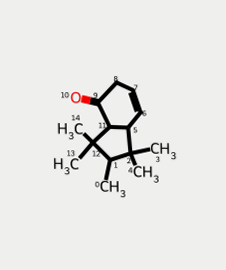 CC1C(C)(C)C2C=CCC(=O)C2C1(C)C